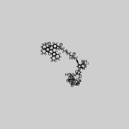 [N-]=[N+]=NCO[C@H]1C[C@H](n2cc(C#CCNC(=O)CCSSCCNC(=O)c3ccc(C(=O)O)c(C4=c5cc6c7c(c5Oc5c4cc4c8c5CCCN8CCC4)CCC[N+]=7CCC6)c3)c3c(N)ncnc32)O[C@@H]1COP(=O)(O)OP(=O)(O)OP(=O)(O)O